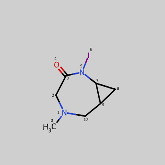 CN1CC(=O)N(I)C2CC2C1